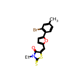 CCN1C(=O)/C(=C\c2ccc(-c3ccc(C)cc3Br)o2)SC1=S